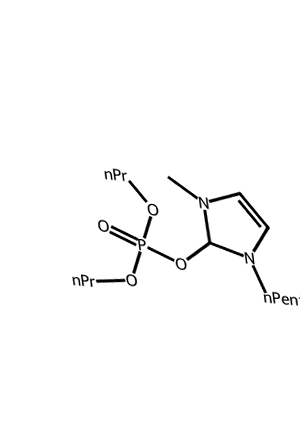 CCCCCN1C=CN(C)C1OP(=O)(OCCC)OCCC